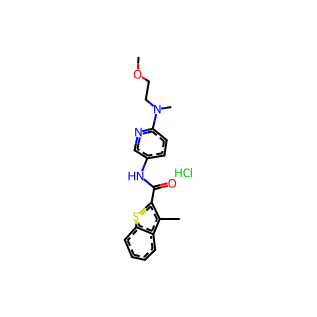 COCCN(C)c1ccc(NC(=O)c2sc3ccccc3c2C)cn1.Cl